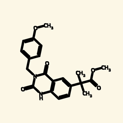 COC(=O)C(C)(C)c1ccc2[nH]c(=O)n(Cc3ccc(OC)cc3)c(=O)c2c1